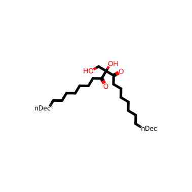 CCCCCCCCCCCCCCCCCC(=O)C(O)(CO)C(=O)CCCCCCCCCCCCCCCCC